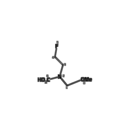 COCN(CCF)C(=O)O